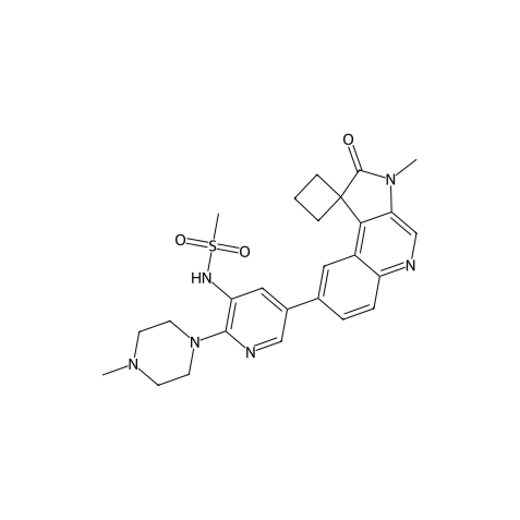 CN1CCN(c2ncc(-c3ccc4ncc5c(c4c3)C3(CCC3)C(=O)N5C)cc2NS(C)(=O)=O)CC1